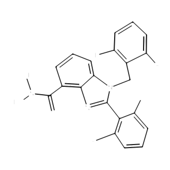 CN(C)C(=O)c1cccc2c1nc(-c1c(F)cccc1F)n2Cc1c(F)cccc1F